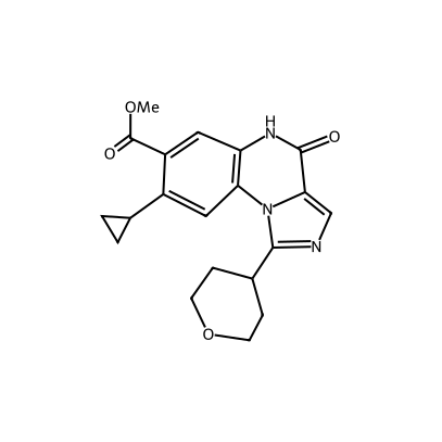 COC(=O)c1cc2[nH]c(=O)c3cnc(C4CCOCC4)n3c2cc1C1CC1